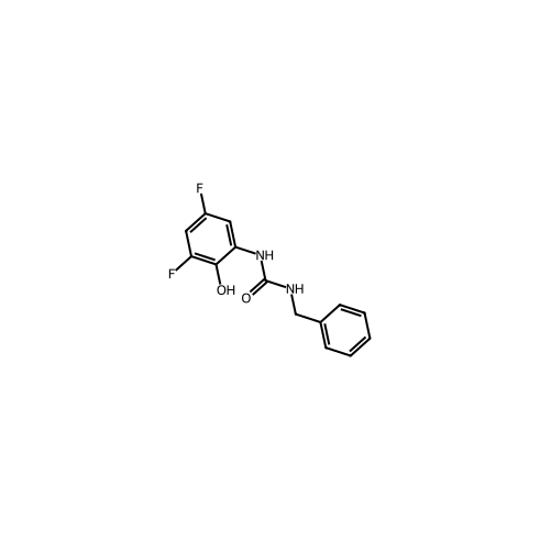 O=C(NCc1ccccc1)Nc1cc(F)cc(F)c1O